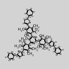 Cc1c(-c2c(C)c(C)c(C3=CCC(c4ccccc4)S3)c(C)c2C)nc(-c2c(C)c(C)c(-c3ccc(-c4ccccc4)s3)c(C)c2C)nc1-c1c(C)c(C)c(-c2ccc(-c3ccccc3)s2)c(C)c1C